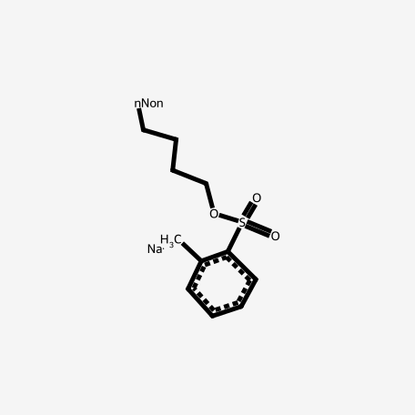 CCCCCCCCCCCCCOS(=O)(=O)c1ccccc1C.[Na]